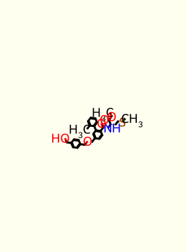 COC(=O)[C@H](CCSC)NC(=O)c1ccc(COCc2ccc(CO)cc2)cc1-c1ccccc1C